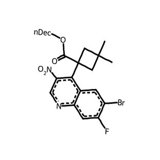 CCCCCCCCCCOC(=O)C1(c2c([N+](=O)[O-])cnc3cc(F)c(Br)cc23)CC(C)(C)C1